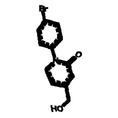 O=c1cc(CO)ccn1-c1ccc(Br)cc1